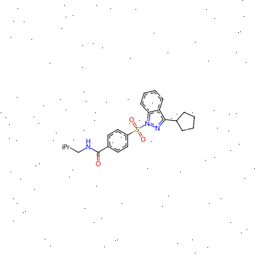 CC(C)CNC(=O)c1ccc(S(=O)(=O)n2nc(C3CCCC3)c3ccccc32)cc1